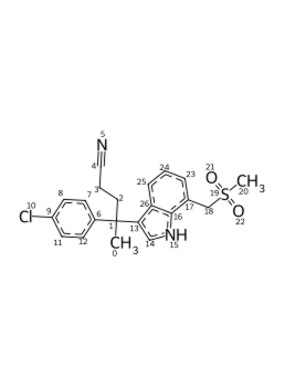 CC(CCC#N)(c1ccc(Cl)cc1)c1c[nH]c2c(CS(C)(=O)=O)cccc12